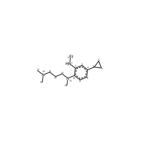 CCNc1cc(C2CC2)ccc1N(C)CCCN(C)C